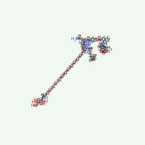 Cc1c(F)cc2nc3c(c4c2c1CC[C@@H]4NC(=O)OCc1ccc(NC(=O)[C@H](CCCNC(N)=O)NC(=O)[C@@H](NC(=O)[C@H](CC(=O)NCCOCCOCCOCCOCCOCCOCCOCCOCCOCCOCCOCCOCCC(=O)NC[C@H](O)[C@@H](O)[C@H](O)[C@H](O)CO)NC(=O)CCCCCN2C(=O)C=CC2=O)C(C)C)cc1)Cn1c-3cc2c(c1=O)COC(=O)[C@]2(O)[C@@H](C)[SiH3]